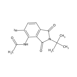 [2H]c1ccc2c(c1NC(C)=O)C(=O)N(C(C)(C)C)C2=O